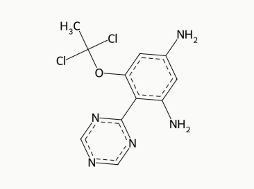 CC(Cl)(Cl)Oc1cc(N)cc(N)c1-c1ncncn1